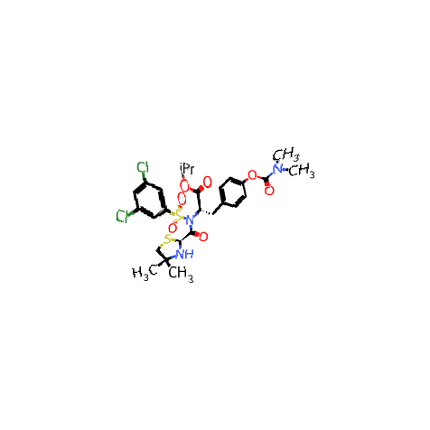 CC(C)OC(=O)[C@H](Cc1ccc(OC(=O)N(C)C)cc1)N(C(=O)[C@H]1NC(C)(C)CS1)S(=O)(=O)c1cc(Cl)cc(Cl)c1